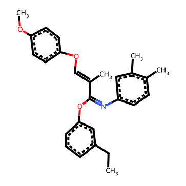 CCc1cccc(OC(=Nc2ccc(C)c(C)c2)C(C)=COc2ccc(OC)cc2)c1